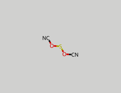 N#COSOC#N